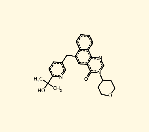 CC(C)(O)c1ccc(Cc2cc3c(=O)n(C4CCOCC4)cnc3c3ccccc23)cn1